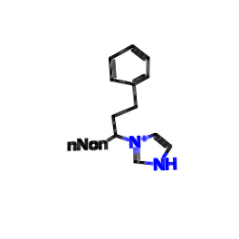 CCCCCCCCCC(CCc1ccccc1)[n+]1cc[nH]c1